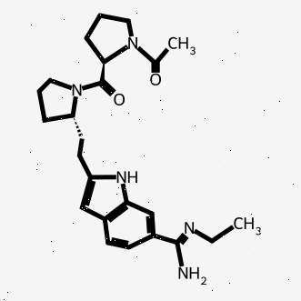 CCN=C(N)c1ccc2cc(CC[C@@H]3CCCN3C(=O)[C@H]3CCCN3C(C)=O)[nH]c2c1